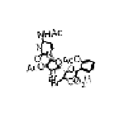 CC(=O)Nc1ccn([C@@H]2O[C@H](C(OC(=O)c3ccccc3OC(C)=O)C(Br)C(=O)O)[C@@H](Br)[C@H]2OC(C)=O)c(=O)n1